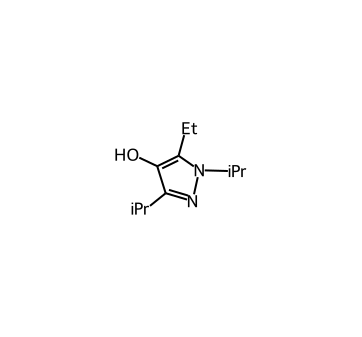 CCc1c(O)c(C(C)C)nn1C(C)C